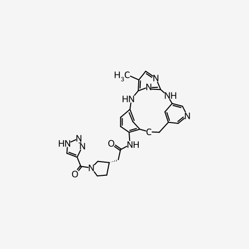 Cc1cnc2nc1Nc1ccc(NC(=O)C[C@@H]3CCN(C(=O)c4c[nH]nn4)C3)c(c1)CCc1cncc(c1)N2